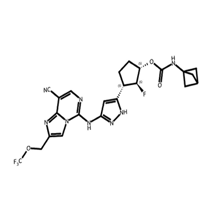 N#Cc1cnc(Nc2cc([C@@H]3CC[C@H](OC(=O)NC45CC(C4)C5)[C@H]3F)[nH]n2)n2cc(COC(F)(F)F)nc12